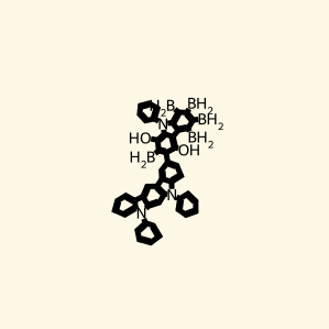 Bc1c(B)c(B)c2c(c1B)c1c(O)c(-c3ccc4c(c3)c3cc5c6ccccc6n(-c6ccccc6)c5cc3n4-c3ccccc3)c(B)c(O)c1n2-c1ccccc1